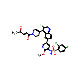 COc1ncc(-c2ccc3ncc(F)c(C4=CCN(C(=O)/C=C/C(C)=O)CC4)c3c2)cc1NS(=O)(=O)c1ccc(F)cc1F